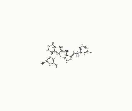 Cc1cc(N/C=C2\CCC(C)[C@H]2Nc2nc3n(n2)CCCN3c2cc(F)cc(F)c2)ncn1